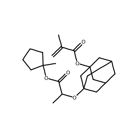 C=C(C)C(=O)OC12CC3CC(C1)CC(OC(C)C(=O)OC1(C)CCCC1)(C3)C2